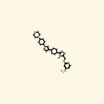 Cn1c(COc2cc(C(F)(F)F)ccn2)nnc1C1CCC(c2cnn(C3CCC(N4CCOCC4)CC3)c2)CC1